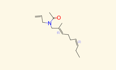 C=CCN(C/C(C)=C/CC/C=C\CC)C(C)=O